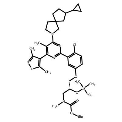 Cc1noc(C)c1-c1nc(-c2cc(OC[C@@H](CN(C)C(=O)OC(C)(C)C)O[Si](C)(C)C(C)(C)C)ccc2Cl)nc(N2CCC3(CCC(C4CC4)C3)C2)c1C